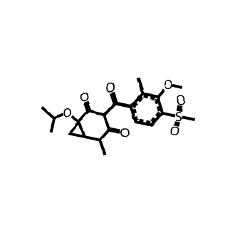 COc1c(S(C)(=O)=O)ccc(C(=O)C2C(=O)C(C)C3CC3(OC(C)C)C2=O)c1C